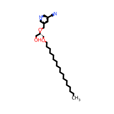 CCCCCCCCCCCCCCCCCCOC[C@H](CO)OCc1cncc(C#N)c1